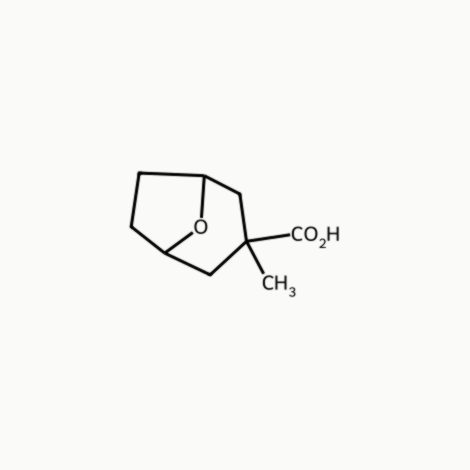 CC1(C(=O)O)CC2CCC(C1)O2